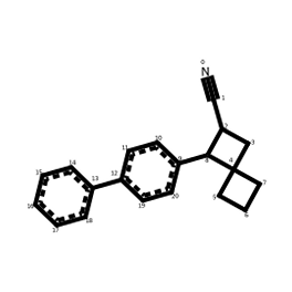 N#CC1CC2(CCC2)C1c1ccc(-c2ccccc2)cc1